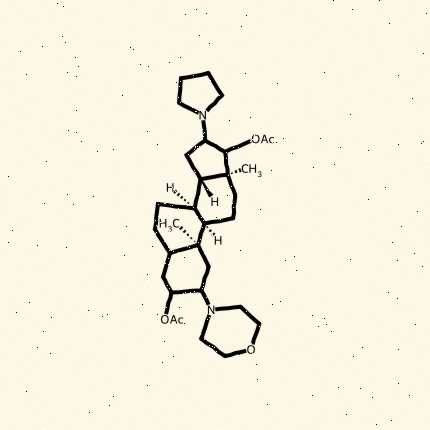 CC(=O)OC1CC2CC[C@@H]3[C@@H](CC[C@]4(C)C(OC(C)=O)C(N5CCCC5)C[C@@H]34)[C@@]2(C)CC1N1CCOCC1